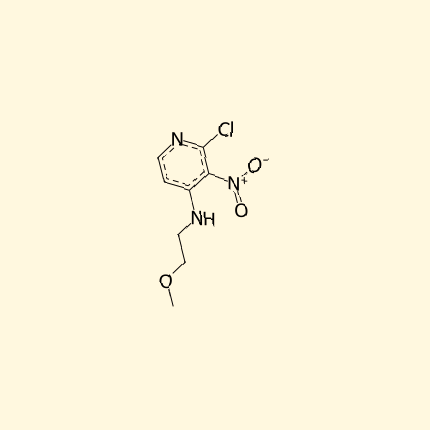 COCCNc1ccnc(Cl)c1[N+](=O)[O-]